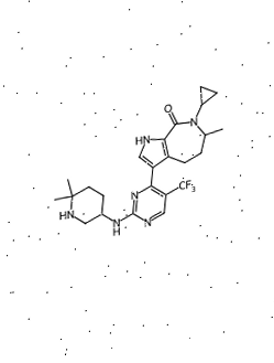 CC1CCc2c(-c3nc(NC4CCC(C)(C)NC4)ncc3C(F)(F)F)c[nH]c2C(=O)N1C1CC1